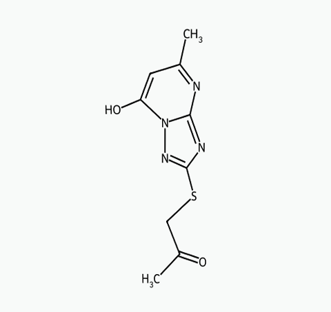 CC(=O)CSc1nc2nc(C)cc(O)n2n1